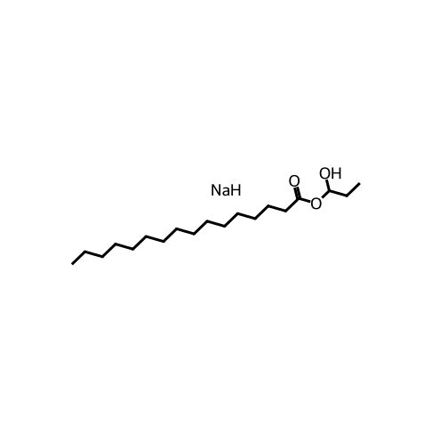 CCCCCCCCCCCCCCCC(=O)OC(O)CC.[NaH]